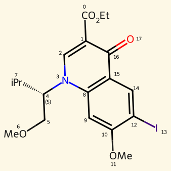 CCOC(=O)c1cn([C@H](COC)C(C)C)c2cc(OC)c(I)cc2c1=O